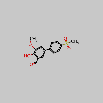 COc1cc(-c2ccc(S(C)(=O)=O)cc2)cc(C=O)c1O